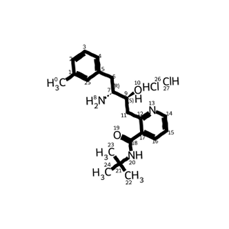 Cc1cccc(C[C@@H](N)[C@@H](O)Cc2ncccc2C(=O)NC(C)(C)C)c1.Cl.Cl